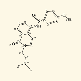 CCOc1ccc(C(=O)Nc2cccc3c(=O)n(CCN(C)C)ccc23)cc1